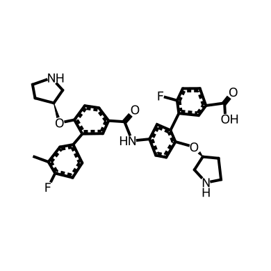 Cc1cc(-c2cc(C(=O)Nc3ccc(O[C@H]4CCNC4)c(-c4cc(C(=O)O)ccc4F)c3)ccc2O[C@H]2CCNC2)ccc1F